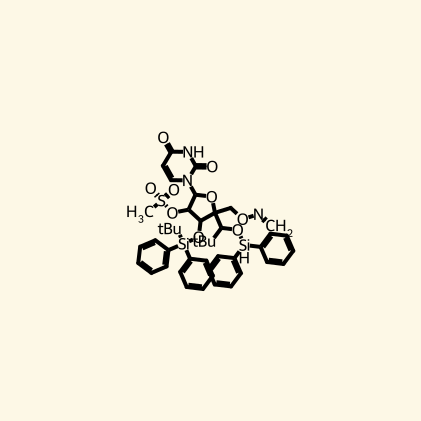 C=NOCC1(C(O[SiH](c2ccccc2)c2ccccc2)C(C)(C)C)OC(n2ccc(=O)[nH]c2=O)C(OS(C)(=O)=O)C1O[Si](c1ccccc1)(c1ccccc1)C(C)(C)C